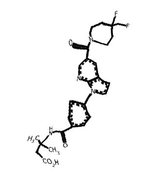 CC(C)(CC(=O)O)NC(=O)c1ccc(-n2ccc3cc(C(=O)N4CCC(F)(F)CC4)cnc32)cc1